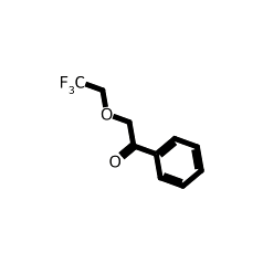 O=C(COCC(F)(F)F)c1ccccc1